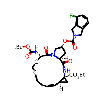 CCOC(=O)[C@@]12C[C@H]1C=CCCCCC[C@H](NC(=O)OC(C)(C)C)C(=O)N1C[C@H](OC(=O)N3Cc4cccc(F)c4C3)C[C@H]1C(=O)N2